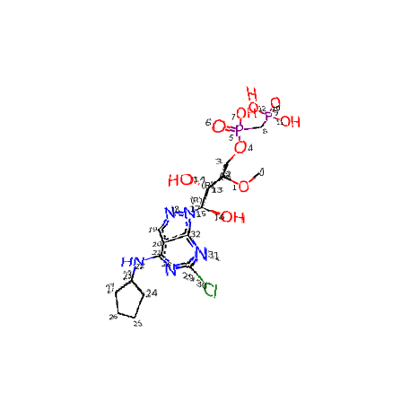 CO[C@H](COP(=O)(O)CP(=O)(O)O)[C@@H](O)[C@@H](O)n1ncc2c(NC3CCCC3)nc(Cl)nc21